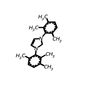 Cc1ccc(C)c(N2C=CN(c3c(C)ccc(C)c3C)C2)c1C